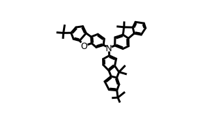 CC(C)(C)c1ccc2c(c1)C(C)(C)c1cc(N(c3ccc4c(c3)C(C)(C)c3ccccc3-4)c3ccc4c(c3)oc3cc(C(C)(C)C)ccc34)ccc1-2